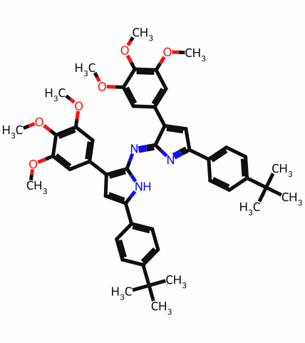 COc1cc(C2=CC(c3ccc(C(C)(C)C)cc3)=N/C2=N\c2[nH]c(-c3ccc(C(C)(C)C)cc3)cc2-c2cc(OC)c(OC)c(OC)c2)cc(OC)c1OC